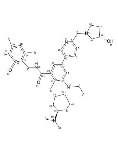 CCN(c1cc(-c2ccc(CN3CC[C@H](O)C3)nc2)cc(C(=O)NCc2c(C)cc(C)[nH]c2=O)c1C)[C@H]1CC[C@H](N(C)C)CC1